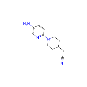 N#CCC1CCN(c2ccc(N)cn2)CC1